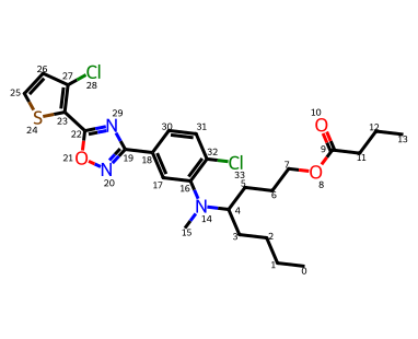 CCCCC(CCCOC(=O)CCC)N(C)c1cc(-c2noc(-c3sccc3Cl)n2)ccc1Cl